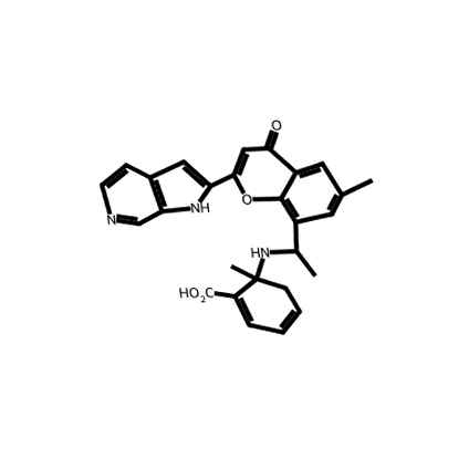 Cc1cc(C(C)NC2(C)CC=CC=C2C(=O)O)c2oc(-c3cc4ccncc4[nH]3)cc(=O)c2c1